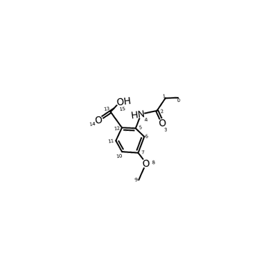 CCC(=O)Nc1cc(OC)ccc1C(=O)O